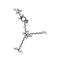 C=C(O)CCCCCCCCCCC(CCCCCCCCCCC)(C(=O)O)C(=O)NCCOCCn1nnc2c1CC[C@H]1[C@@H](CC2)[C@H]1COC(=O)NC